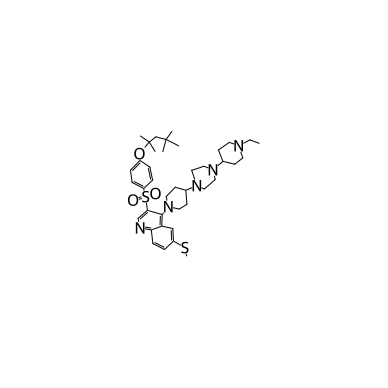 CCN1CCC(N2CCN(C3CCN(c4c(S(=O)(=O)c5ccc(OC(C)(C)CC(C)(C)C)cc5)cnc5ccc(SC)cc45)CC3)CC2)CC1